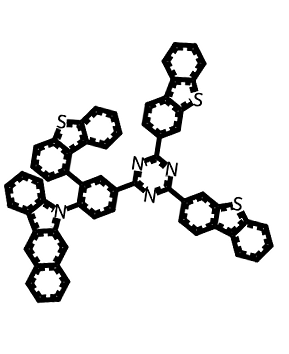 c1ccc2cc3c(cc2c1)c1ccccc1n3-c1ccc(-c2nc(-c3ccc4c(c3)sc3ccccc34)nc(-c3ccc4c(c3)sc3ccccc34)n2)cc1-c1cccc2sc3ccccc3c12